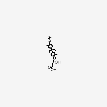 CCC(CC)(c1ccc(CSC(C)(C)C)c(C)c1)c1ccc(OC[C@@H](O)CCC(=O)O)c(C)c1